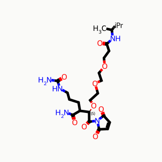 CC(C)C(C)NC(=O)CCOCCOCCO[C@H](C(=O)N1C(=O)C=CC1=O)C(CCCNC(N)=O)C(N)=O